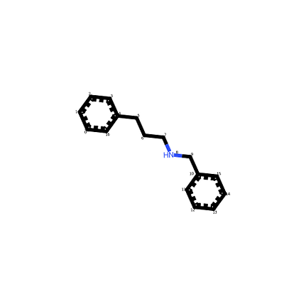 [c]1cccc(CCCNCc2ccccc2)c1